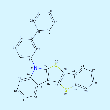 c1ccc(-c2cccc(-n3c4ccccc4c4c5sc6ccccc6c5sc43)c2)cc1